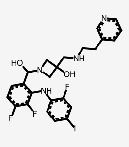 OC(c1ccc(F)c(F)c1Nc1ccc(I)cc1F)N1CC(O)(CNCCc2cccnc2)C1